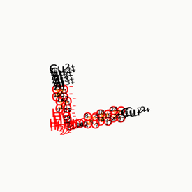 O.O.O.O.O=P([O-])([O-])[O-].O=P([O-])([O-])[O-].O=P([O-])([O-])[O-].O=P([O-])([O-])[O-].O=P([O-])([O-])[O-].[Al+3].[Al+3].[Al+3].[Al+3].[Cu+2].[Cu+2].[Cu+2].[Cu+2].[OH-].[OH-].[OH-].[OH-].[OH-]